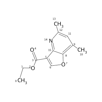 CCOC(=O)c1coc2c(C)cc(C)nc12